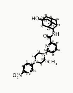 C[C@@H]1CN(c2ccc([N+](=O)[O-])nc2)CCN1c1cccc(C(=O)NC2C3CC4CC2CC(O)(C4)C3)n1